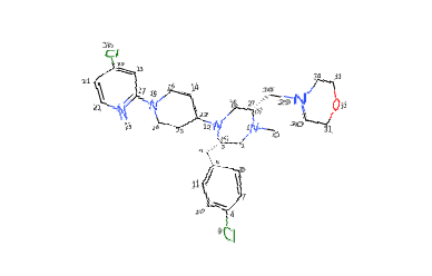 CN1C[C@H](Cc2ccc(Cl)cc2)N(C2CCN(c3cc(Cl)ccn3)CC2)C[C@@H]1CN1CCOCC1